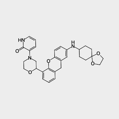 O=c1[nH]cccc1N1CCOC(c2cccc3c2Oc2ccc(NC4CCC5(CC4)OCCO5)cc2C3)C1